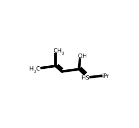 CC(C)=CC(O)=[SH]C(C)C